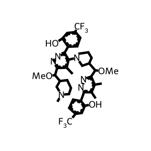 COC(c1nnc(-c2ccc(C(F)(F)F)cc2O)c(C)c1C)C1CCCN(c2c(-c3ccc(C(F)(F)F)cc3O)nnc(C(OC)C3CCCN(C)C3)c2C)C1